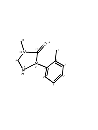 Cc1ccccc1N1NCN(C)C1=O